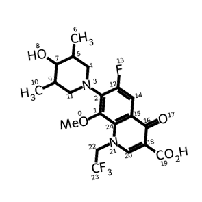 COc1c(N2CC(C)C(O)C(C)C2)c(F)cc2c(=O)c(C(=O)O)cn(CC(F)(F)F)c12